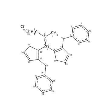 C[SiH](C)[Zr+2]([C]1=C(Cc2ccccc2)C=CC1)[C]1=C(Cc2ccccc2)C=CC1.[Cl-].[Cl-]